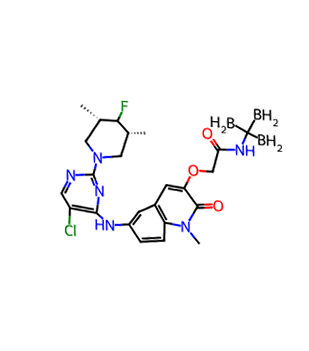 BC(B)(B)NC(=O)COc1cc2cc(Nc3nc(N4C[C@@H](C)C(F)[C@@H](C)C4)ncc3Cl)ccc2n(C)c1=O